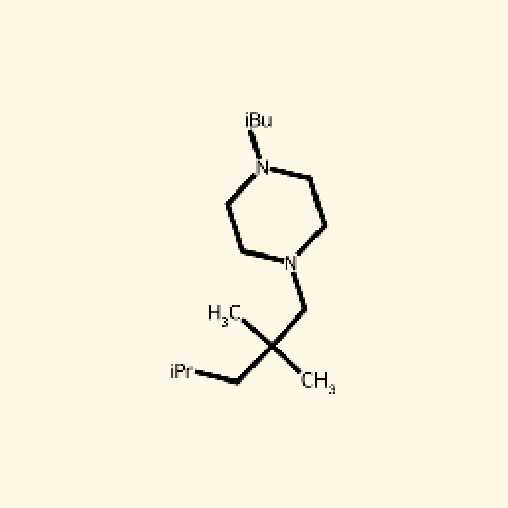 CCC(C)N1CCN(CC(C)(C)CC(C)C)CC1